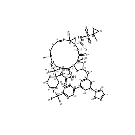 CC[C@@H]1O[C@H](C)CCC=C[C@@H]2C[C@@]2(C(=O)NS(=O)(=O)C2(C)CC2)NC(=O)[C@@H]2C[C@@H](Oc3cc(-c4ccc(C(F)(F)F)cc4)nc(-c4nccs4)c3)CN2C(=O)[C@H]1N(C(=O)O)C1(C(F)(F)F)CCCOC1